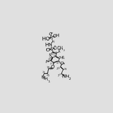 CCc1c(S(=O)(=O)NCP(=O)(O)O)sc2c(F)c(OCCCN)c(OCCCN)c(F)c12